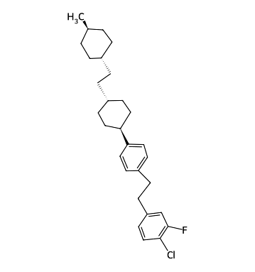 C[C@H]1CC[C@H](CC[C@H]2CC[C@H](c3ccc(CCc4ccc(Cl)c(F)c4)cc3)CC2)CC1